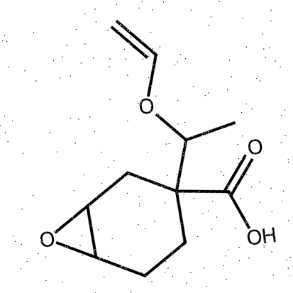 C=COC(C)C1(C(=O)O)CCC2OC2C1